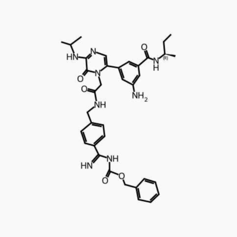 CC[C@@H](C)NC(=O)c1cc(N)cc(-c2cnc(NC(C)C)c(=O)n2CC(=O)NCc2ccc(C(=N)NC(=O)OCc3ccccc3)cc2)c1